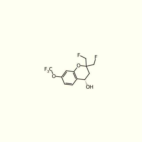 O[C@H]1CC(CF)(CF)Oc2cc(OC(F)(F)F)ccc21